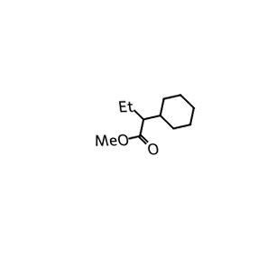 CCC(C(=O)OC)C1CCCCC1